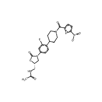 CC(=O)NC[C@H]1CN(c2ccc(C3CCN(C(=O)c4ccc([N+](=O)[O-])o4)CC3)c(F)c2)C(=O)O1